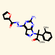 COC(=O)C(C)(c1ccccc1OC)n1ncc2c(NNC(=O)c3ccco3)nc(N)nc21